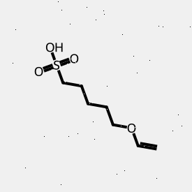 C=COCCCCCS(=O)(=O)O